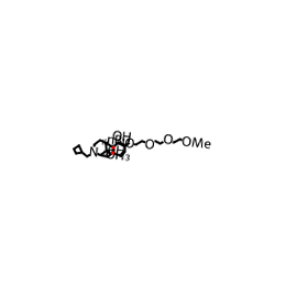 CCCC[C@]12CCN(CC3CCC3)C(Cc3ccc(OCCOCCOCCOC)c(O)c31)[C@@]2(C)O